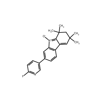 CC1(C)C=C2C(=[N+]([O-])c3cc(-c4ccc(F)nc4)ccc32)C(C)(C)C1